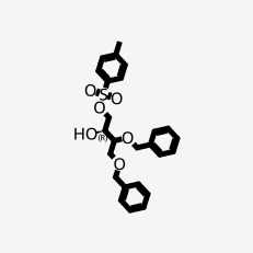 Cc1ccc(S(=O)(=O)OC[C@@H](O)C(COCc2ccccc2)OCc2ccccc2)cc1